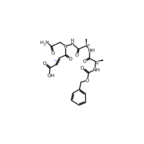 C[C@@H](NC(=O)OCc1ccccc1)C(=O)N[C@H](C)C(=O)NN(CC(N)=O)C(=O)/C=C/C(=O)O